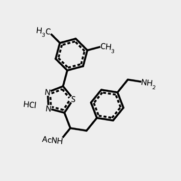 CC(=O)NC(Cc1ccc(CN)cc1)c1nnc(-c2cc(C)cc(C)c2)s1.Cl